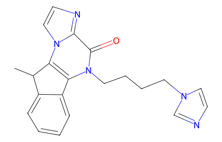 CC1c2ccccc2-c2c1n1ccnc1c(=O)n2CCCCn1ccnc1